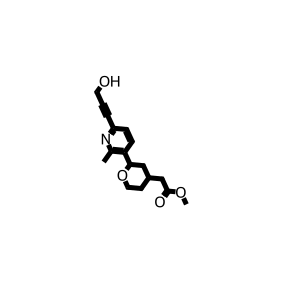 COC(=O)CC1CCOC(c2ccc(C#CCO)nc2C)C1